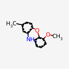 COc1ccccc1Oc1ccc(C)cc1N